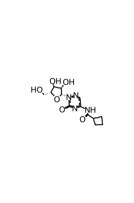 O=C(Nc1cnn([C@@H]2O[C@H](CO)[C@@H](O)[C@H]2O)c(=O)n1)C1CCC1